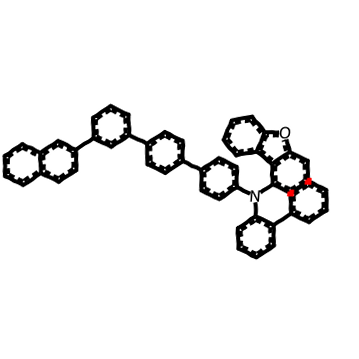 c1ccc(-c2ccccc2N(c2ccc(-c3ccc(-c4cccc(-c5ccc6ccccc6c5)c4)cc3)cc2)c2cccc3oc4ccccc4c23)cc1